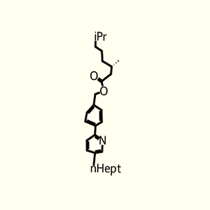 CCCCCCCc1ccc(-c2ccc(COC(=O)C[C@@H](C)CCCC(C)C)cc2)nc1